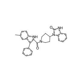 Cc1ccc2[nH]c(C(=O)N3CCC(n4c(=O)[nH]c5ccccc54)CC3)c(-c3ccccc3)c2c1